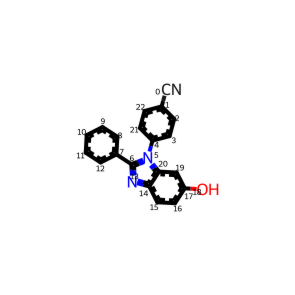 N#Cc1ccc(-n2c(-c3ccccc3)nc3ccc(O)cc32)cc1